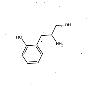 NC(CO)Cc1ccccc1O